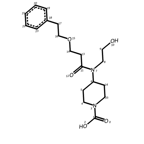 O=C(O)N1CCC(N(CCO)C(=O)CCOCCc2ccccc2)CC1